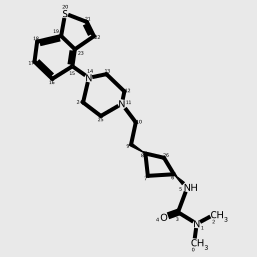 CN(C)C(=O)N[C@H]1C[C@@H](CCN2CCN(c3cccc4sccc34)CC2)C1